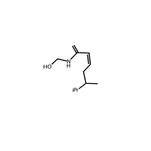 C=C(/C=C\CC(C)C(C)C)NCO